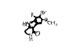 COc1cc2c3c([nH]c2c(F)c1Br)CCNC3=O